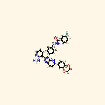 Nc1ncccc1-c1nc2ccc(-c3ccc4c(c3)OCCO4)nc2n1-c1ccc(CNC(=O)c2cccc(F)c2)cc1